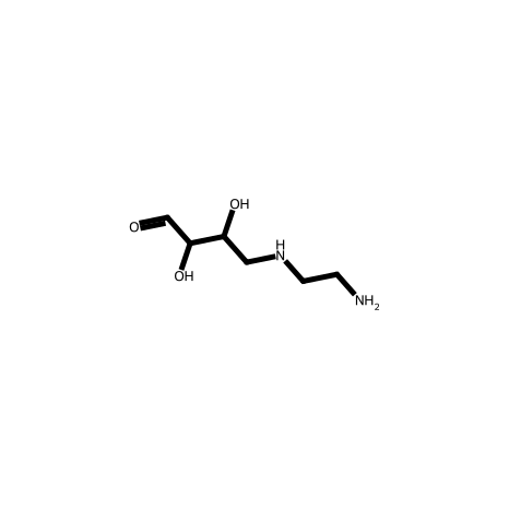 NCCNCC(O)C(O)C=O